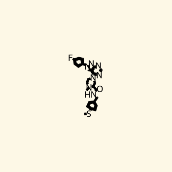 CSc1ccc(CNC(=O)C2CN(c3ncnc4nn(-c5ccc(F)cc5)cc34)CCN2C)cc1